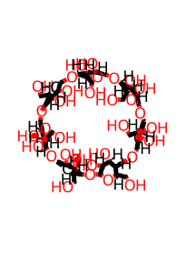 OC[C@H]1CC2O[C@H]3[C@H](O)[C@@H](O)C(OC4[C@@H](CO)CC(O[C@H]5[C@H](O)[C@@H](O)C(OC6[C@@H](CO)CC(O[C@H]7[C@H](O)[C@@H](O)C(O[C@H]8[C@H](O)[C@@H](O)C(OC1[C@H](O)[C@H]2O)O[C@@H]8CO)O[C@@H]7CO)[C@H](O)[C@H]6O)O[C@@H]5CO)[C@H](O)[C@H]4O)O[C@@H]3CO